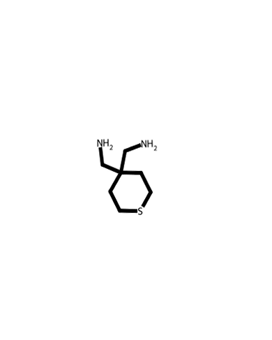 NCC1(CN)CCSCC1